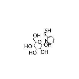 OC[C@H]1O[C@@H](O)[C@H](O)[C@@H](O)[C@H]1O.SSc1ccccn1